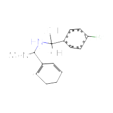 CNC(NC(C)(C)c1ccc(Br)cc1)C1=CCCC=C1